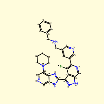 Fc1c(-c2cncc(CNCc3ccccc3)c2)ncc2[nH]nc(-c3nc4c(N5CCCCC5)cncc4[nH]3)c12